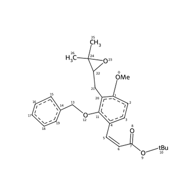 COc1ccc(/C=C\C(=O)OC(C)(C)C)c(OCc2ccccc2)c1CC1OC1(C)C